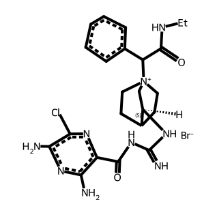 CCNC(=O)C(c1ccccc1)[N+]12CCC(CC1)[C@H](NC(=N)NC(=O)c1nc(Cl)c(N)nc1N)C2.[Br-]